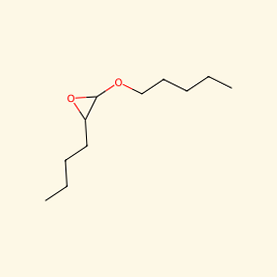 CCCCCOC1OC1CCCC